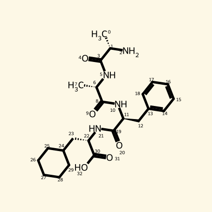 C[C@H](N)C(=O)N[C@@H](C)C(=O)N[C@@H](Cc1ccccc1)C(=O)N[C@@H](CC1CCCCC1)C(=O)O